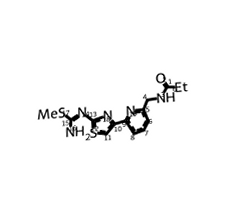 CCC(=O)NCc1cccc(-c2csc(/N=C(\N)SC)n2)n1